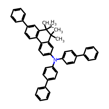 CC1(C)c2cc(-c3ccccc3)ccc2-c2ccc(N(c3ccc(-c4ccccc4)cc3)c3ccc(-c4ccccc4)cc3)cc2C1(C)C